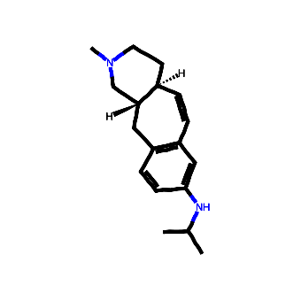 CC(C)Nc1ccc2c(c1)C=C[C@@H]1CCN(C)C[C@H]1C2